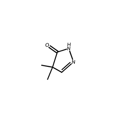 CC1(C)C=NNC1=O